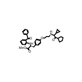 COC(=O)[C@H](Cc1ccc(OCCCNC(C(=O)C2CCCC2)C2CC2)cc1)Nc1ccccc1C(=O)c1ccccc1